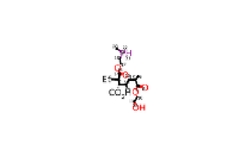 CCC(CC(CC(C)C(=O)OCCO)C(=O)O)C(=O)OCC[PH](C)(C)C